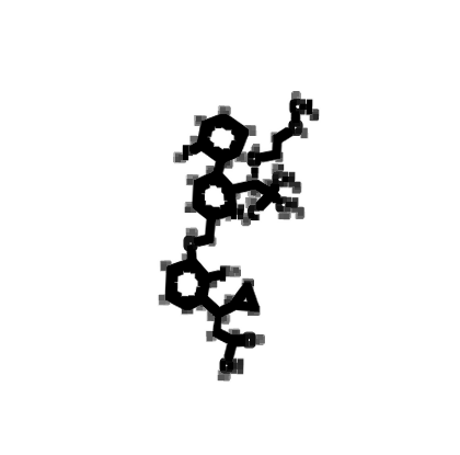 COCCO[C@@H](c1cc(COc2cccc([C@H](CC(=O)O)C3CC3)c2F)ccc1-c1ccccc1F)C(C)(C)C